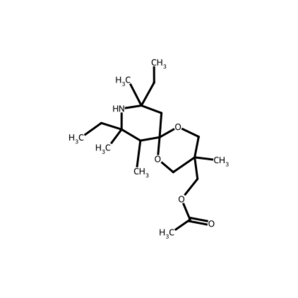 CCC1(C)CC2(OCC(C)(COC(C)=O)CO2)C(C)C(C)(CC)N1